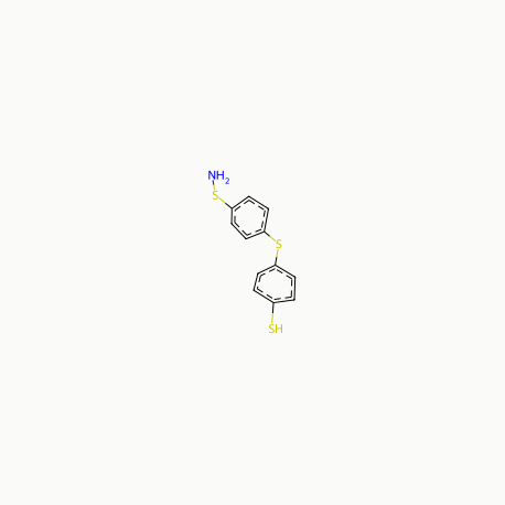 NSc1ccc(Sc2ccc(S)cc2)cc1